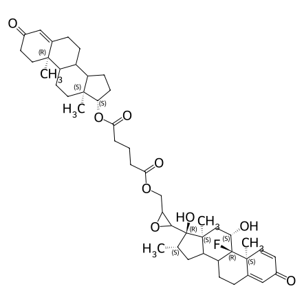 C[C@H]1CC2C3CCC4=CC(=O)C=C[C@]4(C)[C@@]3(F)[C@@H](O)C[C@]2(C)[C@@]1(O)C1OC1COC(=O)CCCC(=O)O[C@H]1CCC2C3CCC4=CC(=O)CC[C@]4(C)C3CC[C@@]21C